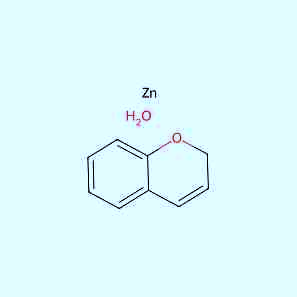 C1=Cc2ccccc2OC1.O.[Zn]